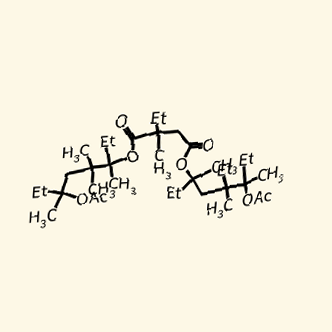 CCC(C)(CC(C)(C)C(C)(CC)OC(=O)C(C)(CC)CC(=O)OC(C)(CC)CC(C)(CC)C(C)(CC)OC(C)=O)OC(C)=O